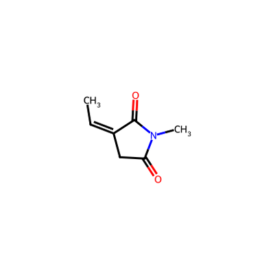 CC=C1CC(=O)N(C)C1=O